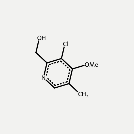 COc1c(C)cnc(CO)c1Cl